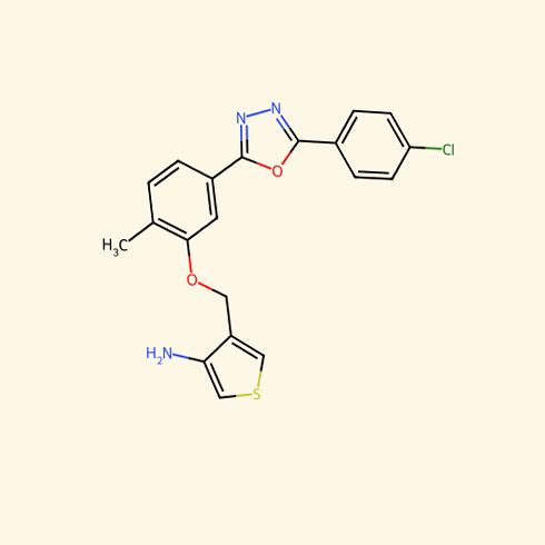 Cc1ccc(-c2nnc(-c3ccc(Cl)cc3)o2)cc1OCc1cscc1N